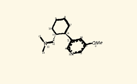 COc1cncc([C@@H]2CCCC[C@H]2CN(C)C)c1